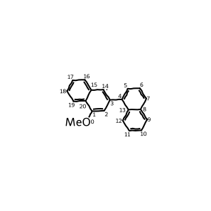 COc1cc(-c2cccc3ccccc23)[c]c2ccccc12